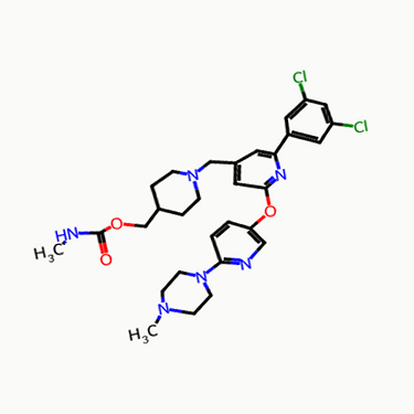 CNC(=O)OCC1CCN(Cc2cc(Oc3ccc(N4CCN(C)CC4)nc3)nc(-c3cc(Cl)cc(Cl)c3)c2)CC1